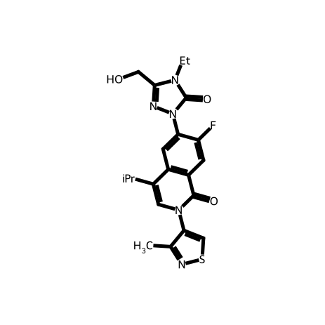 CCn1c(CO)nn(-c2cc3c(C(C)C)cn(-c4csnc4C)c(=O)c3cc2F)c1=O